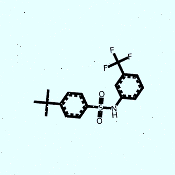 CC(C)(C)c1ccc(S(=O)(=O)Nc2cccc(C(F)(F)F)c2)cc1